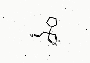 C=CCC(C=C)(C=C)N1CCCC1